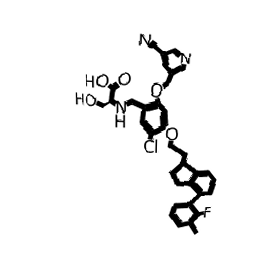 Cc1cccc(-c2cccc3c2CCC3CCOc2cc(OCc3cncc(C#N)c3)c(CN[C@@H](CO)C(=O)O)cc2Cl)c1F